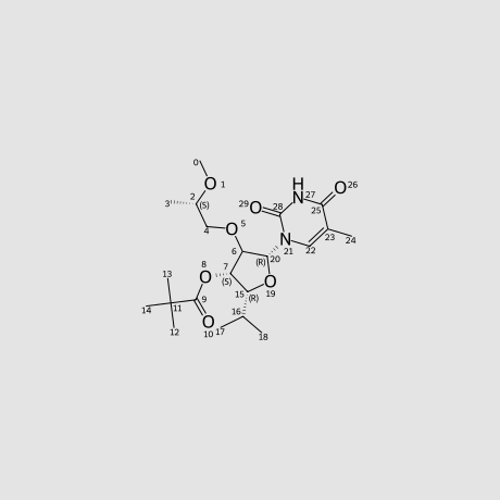 CO[C@@H](C)COC1[C@@H](OC(=O)C(C)(C)C)[C@@H](C(C)C)O[C@H]1n1cc(C)c(=O)[nH]c1=O